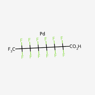 O=C(O)C(F)(F)C(F)(F)C(F)(F)C(F)(F)C(F)(F)C(F)(F)C(F)(F)F.[Pd]